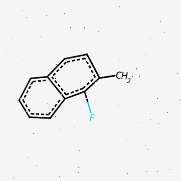 [CH2]c1ccc2ccccc2c1F